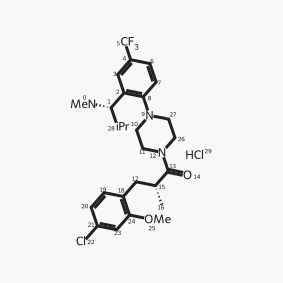 CN[C@H](c1cc(C(F)(F)F)ccc1N1CCN(C(=O)[C@H](C)Cc2ccc(Cl)cc2OC)CC1)C(C)C.Cl